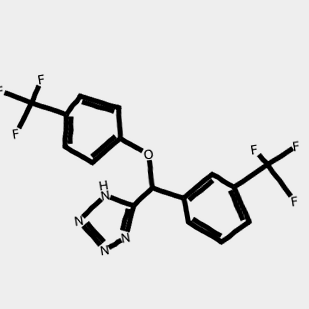 FC(F)(F)c1ccc(OC(c2cccc(C(F)(F)F)c2)c2nnn[nH]2)cc1